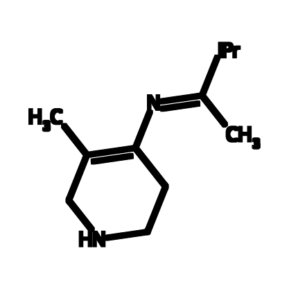 CC1=C(/N=C(\C)C(C)C)CCNC1